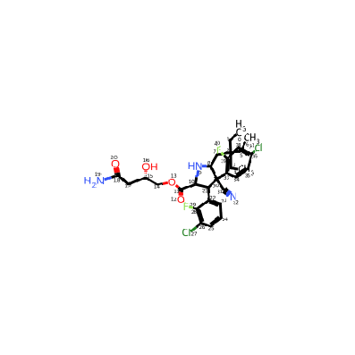 CCC(CC)(CC)CC1NC(C(=O)OC[C@@H](O)CC(N)=O)C(c2cccc(Cl)c2F)C1(C#N)c1ccc(Cl)cc1F